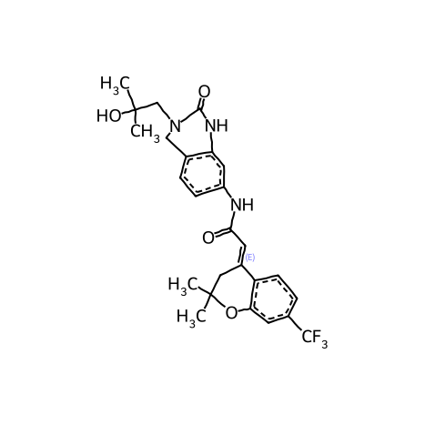 CC(C)(O)CN1Cc2ccc(NC(=O)/C=C3\CC(C)(C)Oc4cc(C(F)(F)F)ccc43)cc2NC1=O